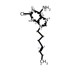 CC/C=C/CCCn1cnc2c(N)nc(Cl)nc21